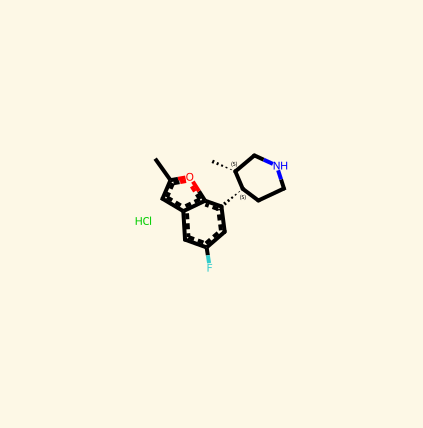 Cc1cc2cc(F)cc([C@H]3CCNC[C@H]3C)c2o1.Cl